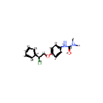 CN(C)C(=O)Nc1ccc(OCC(Cl)c2ccccc2)cc1